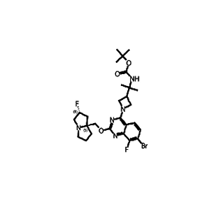 CC(C)(C)OC(=O)NC(C)(C)C1CN(c2nc(OC[C@@]34CCCN3C[C@H](F)C4)nc3c(F)c(Br)ccc23)C1